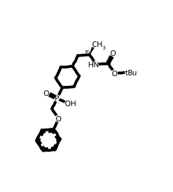 C[C@H](CC1CCC(P(=O)(O)COc2ccccc2)CC1)NC(=O)OC(C)(C)C